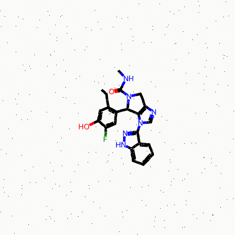 CCc1cc(O)c(F)cc1C1c2c(ncn2-c2n[nH]c3ccccc23)CN1C(=O)NC